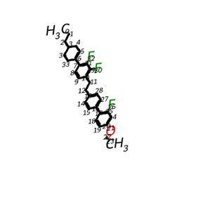 CCCC1CC=C(c2ccc(CCc3ccc(-c4ccc(OCC)cc4F)cc3)c(F)c2F)CC1